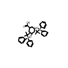 CC(C)(C)[Si](O[C@@H]1CC(C(=O)O)C[C@H](O[Si](c2ccccc2)(c2ccccc2)C(C)(C)C)C1)(c1ccccc1)c1ccccc1